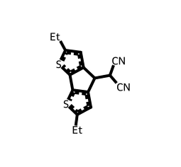 CCc1cc2c(s1)-c1sc(CC)cc1C2C(C#N)C#N